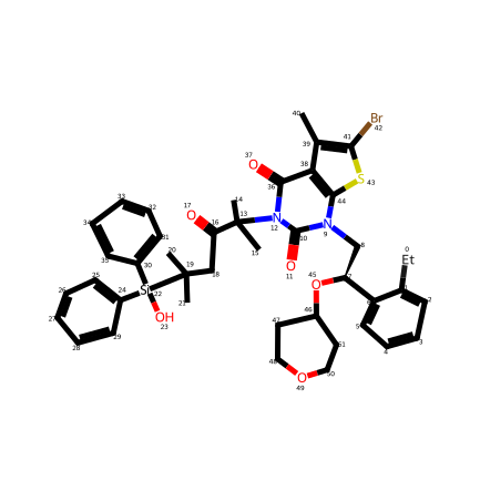 CCc1ccccc1[C@H](Cn1c(=O)n(C(C)(C)C(=O)CC(C)(C)[Si](O)(c2ccccc2)c2ccccc2)c(=O)c2c(C)c(Br)sc21)OC1CCOCC1